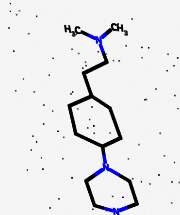 CN(C)CCC1CCC(N2CCNCC2)CC1